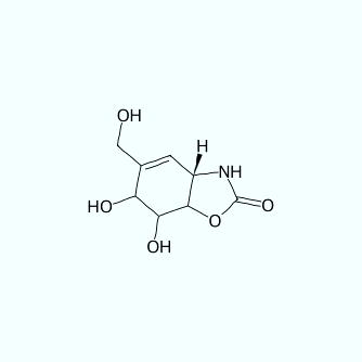 O=C1N[C@H]2C=C(CO)C(O)C(O)C2O1